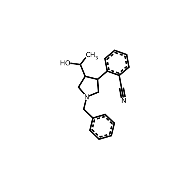 CC(O)C1CN(Cc2ccccc2)CC1c1ccccc1C#N